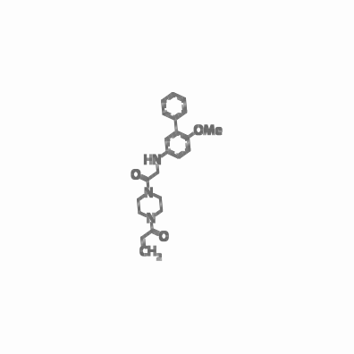 C=CC(=O)N1CCN(C(=O)CNc2ccc(OC)c(-c3ccccc3)c2)CC1